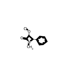 CN1C(=O)[C@H](OCl)[C@@H]1c1ccccc1